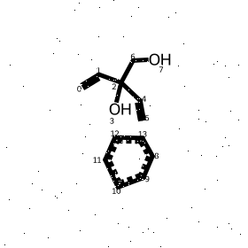 C=CC(O)(C=C)CO.c1ccccc1